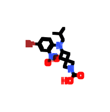 CC(C)CN(c1ccc(Br)cc1[N+](=O)[O-])C1CC2(C1)CN(C(=O)O)C2